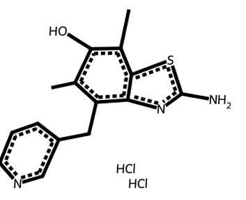 Cc1c(O)c(C)c2sc(N)nc2c1Cc1cccnc1.Cl.Cl